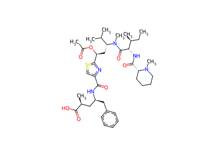 CC[C@H](C)[C@H](NC(=O)[C@H]1CCCCN1C)C(=O)N(C)[C@H](C[C@H](OC(C)=O)c1nc(C(=O)N[C@@H](Cc2ccccc2)C[C@H](C)C(=O)O)cs1)C(C)C